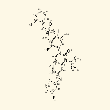 CC(C)n1c(=O)c(-c2cc(F)c(NS(=O)(=O)Cc3ccccc3F)c(F)c2F)cc2cnc(N[C@@H]3CNC[C@@H](F)C3)nc21